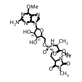 COc1nc(N)nc2c1ncn2C1OC(COP(=O)(N[C@H](C)C(=O)OC(C)C)SCC2C(=O)N(C)C(=O)N2C)[C@@H](O)[C@H]1O